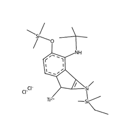 CC[Si](C)(C)[Si]1(C)C2=C1[CH]([Ti+2])c1ccc(O[Si](C)(C)C)c(NC(C)(C)C)c12.[Cl-].[Cl-]